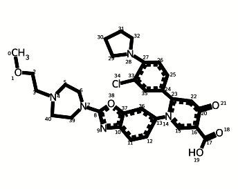 COCCN1CCN(c2nc3ccc(-n4cc(C(=O)O)c(=O)cc4-c4ccc(N5CCCC5)c(Cl)c4)cc3o2)CC1